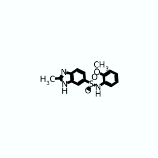 COc1ccccc1NS(=O)(=O)c1ccc2nc(C)[nH]c2c1